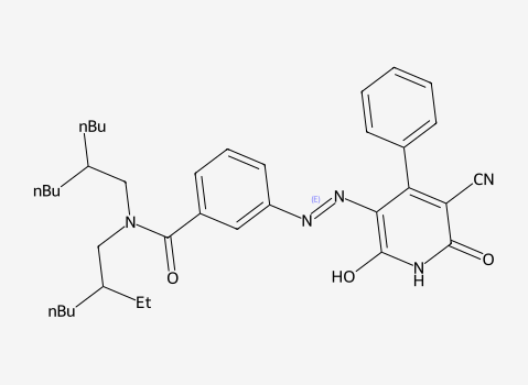 CCCCC(CC)CN(CC(CCCC)CCCC)C(=O)c1cccc(/N=N/c2c(O)[nH]c(=O)c(C#N)c2-c2ccccc2)c1